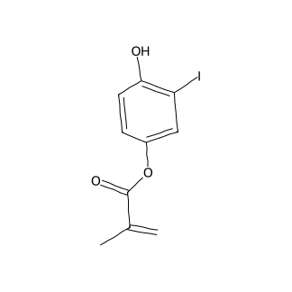 C=C(C)C(=O)Oc1ccc(O)c(I)c1